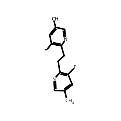 Cc1cnc(CCc2ncc(C)cc2F)c(F)c1